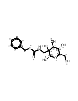 O=C(NC[C@@]1(O)[C@@H](O)O[C@H](CO)[C@@H](O)[C@@H]1O)OCc1ccccc1